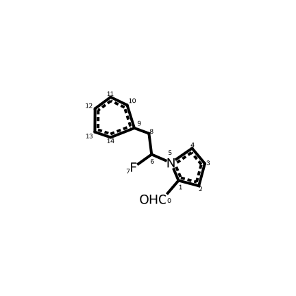 O=Cc1cccn1C(F)Cc1ccccc1